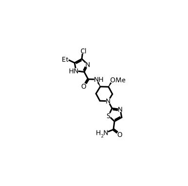 CCc1[nH]c(C(=O)N[C@@H]2CCN(c3ncc(C(N)=O)s3)C[C@@H]2OC)nc1Cl